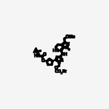 CCOC(=O)OCn1nc(NC2=c3c(c(COC)nn3C)=CCN2)cc1[C@H]1CC[C@@H](OC(=O)NC2(C)CC2)C1